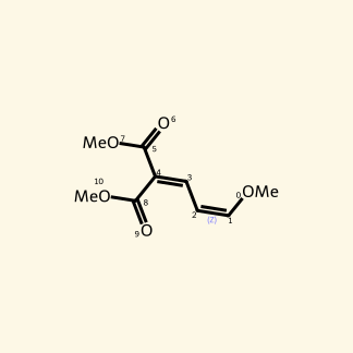 CO/C=C\C=C(C(=O)OC)C(=O)OC